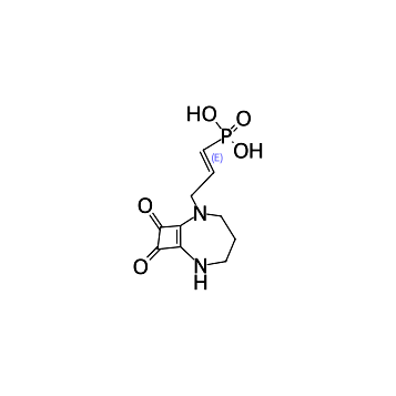 O=c1c2c(c1=O)N(C/C=C/P(=O)(O)O)CCCN2